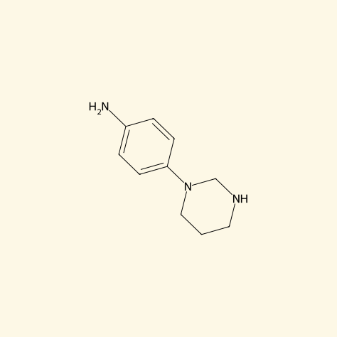 Nc1ccc(N2CCCNC2)cc1